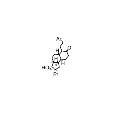 CC[C@H]1C[C@H]2[C@@H]3CCC(=O)C(CCC(C)=O)[C@H]3CC[C@]2(C)[C@H]1O